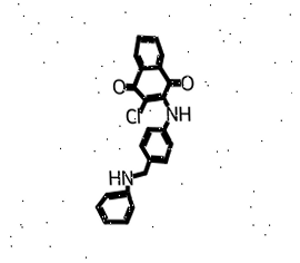 O=C1C(Cl)=C(Nc2ccc(CNc3ccccc3)cc2)C(=O)c2ccccc21